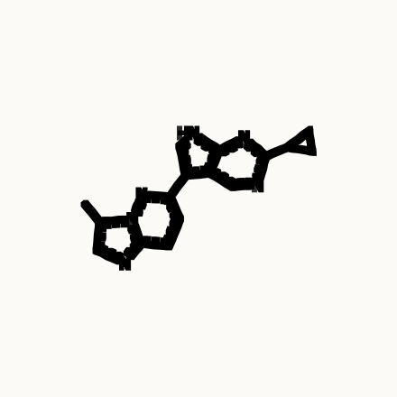 Cc1cnc2ccc(-c3c[nH]c4nc(C5CC5)ncc34)nn12